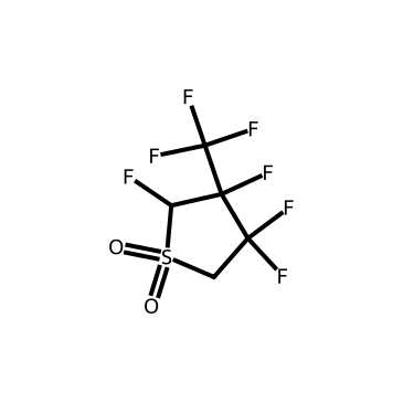 O=S1(=O)CC(F)(F)C(F)(C(F)(F)F)C1F